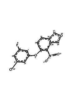 O=[N+]([O-])c1c(Oc2cc(F)cc(Cl)c2)ccc2nonc12